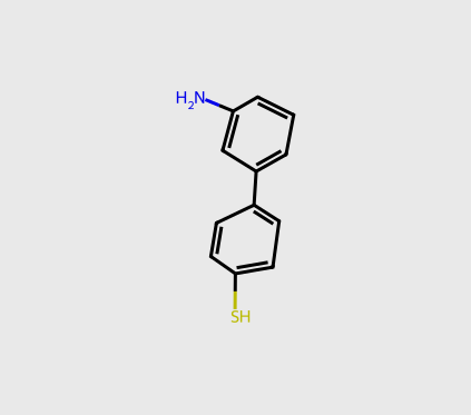 Nc1cccc(-c2ccc(S)cc2)c1